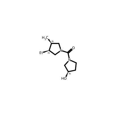 CC[C@@H]1CN(C(=O)N2CC[C@@H](O)C2)C[C@@H]1C